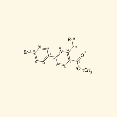 COC(=O)c1ccc(-c2ccc(Br)cc2)nc1CBr